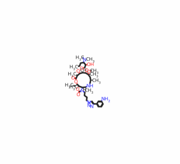 CC[C@H]1OC(=O)C(C)C(=O)[C@@H](C)[C@@H](O[C@@H]2OC(C)CC(N(C)C)C2O)[C@](C)(OC)C[C@@H](C)CN[C@H](C)[C@H]2N(CCCCn3cc(-c4cccc(N)c4)nn3)C(=O)O[C@]12C